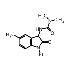 CCN1C(=O)C(NC(=O)N(C)C)c2cc(C)ccc21